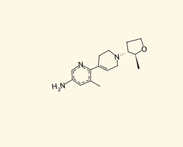 Cc1cc(N)cnc1C1=CCN([C@@H]2CCO[C@H]2C)CC1